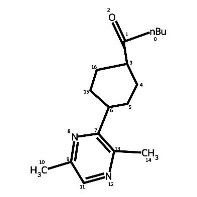 CCCCC(=O)C1CCC(c2nc(C)cnc2C)CC1